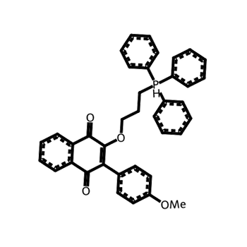 COc1ccc(C2=C(OCCC[PH](c3ccccc3)(c3ccccc3)c3ccccc3)C(=O)c3ccccc3C2=O)cc1